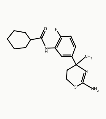 CC1(c2ccc(F)c(NC(=O)C3CCCCC3)c2)CCSC(N)=N1